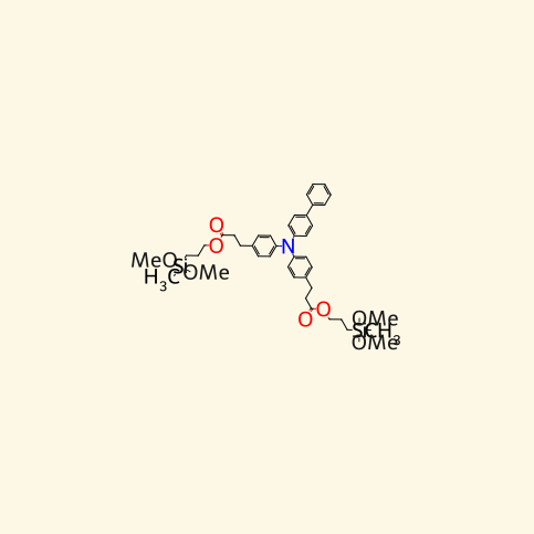 CO[Si](C)(CCCOC(=O)CCc1ccc(N(c2ccc(CCC(=O)OCCC[Si](C)(OC)OC)cc2)c2ccc(-c3ccccc3)cc2)cc1)OC